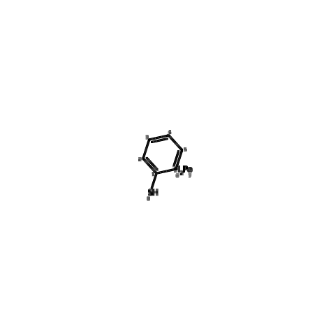 Sc1ccccc1.[PoH2]